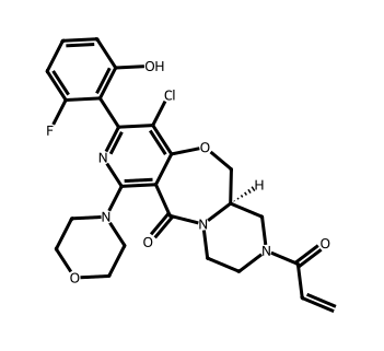 C=CC(=O)N1CCN2C(=O)c3c(N4CCOCC4)nc(-c4c(O)cccc4F)c(Cl)c3OC[C@H]2C1